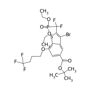 CCOP(=O)(OCC)C(F)(F)c1sc2c(OCCCC(F)(F)F)cc(C(=O)OC(C)(C)C)cc2c1Br